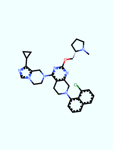 CN1CCC[C@H]1COc1nc2c(c(N3CCn4cnc(C5CC5)c4C3)n1)CCN(c1cccc3cccc(Cl)c13)C2